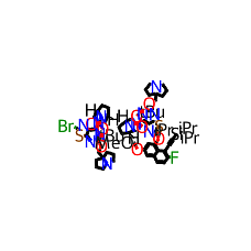 CC(C)(C)OC(=O)N1[C@@H]2CC[C@H]1CN(c1nc(OCC34CCCN3CCC4)nc3sc(Br)nc13)C2.COCOc1cc(Oc2nc3c(N4C[C@H]5CC[C@@H](C4)N5C(=O)OC(C)(C)C)nc(OCC45CCCN4CCC5)nc3s2)c2c(C#C[Si](C(C)C)(C(C)C)C(C)C)c(F)ccc2c1